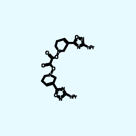 CCCc1noc(C2=CCCN(OC(=O)C(=O)ON3CCC=C(c4nc(CCC)no4)C3)C2)n1